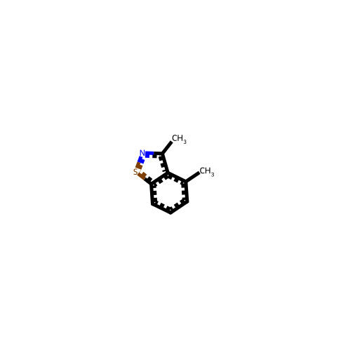 Cc1cccc2snc(C)c12